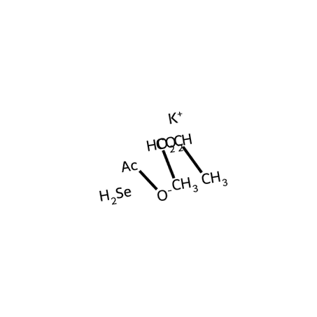 CC(=O)O.CC(=O)O.CC(=O)[O-].[K+].[SeH2]